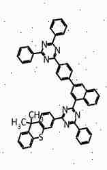 CC1(C)c2ccccc2Sc2cc(-c3nc(-c4ccccc4)nc(-c4cc(-c5ccc(-c6nc(-c7ccccc7)nc(-c7ccccc7)n6)cc5)cc5ccccc45)n3)ccc21